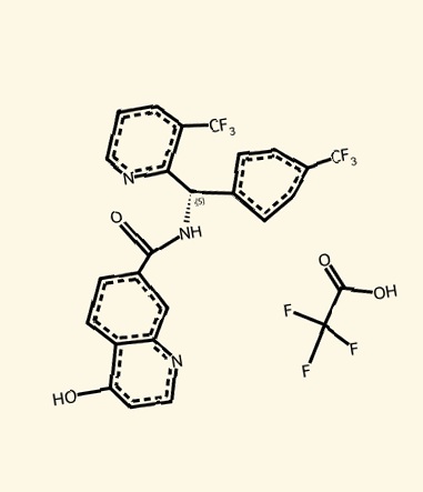 O=C(N[C@@H](c1ccc(C(F)(F)F)cc1)c1ncccc1C(F)(F)F)c1ccc2c(O)ccnc2c1.O=C(O)C(F)(F)F